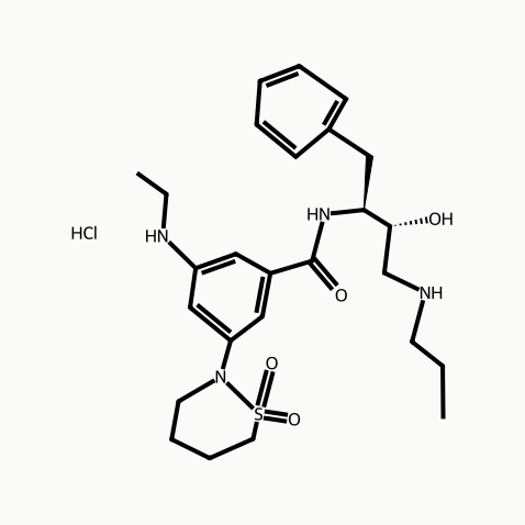 CCCNC[C@@H](O)[C@H](Cc1ccccc1)NC(=O)c1cc(NCC)cc(N2CCCCS2(=O)=O)c1.Cl